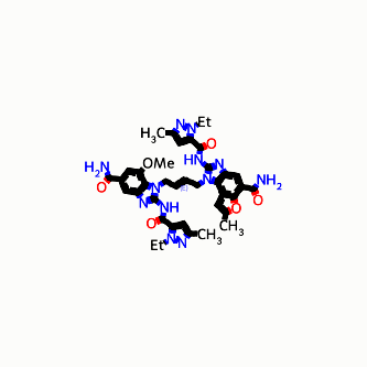 CCn1nc(C)cc1C(=O)Nc1nc2cc(C(N)=O)cc(OC)c2n1C/C=C/Cn1c(NC(=O)c2cc(C)nn2CC)nc2cc(C(N)=O)c3oc(C)cc3c21